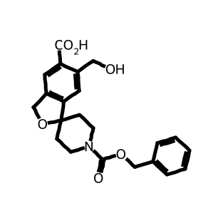 O=C(O)c1cc2c(cc1CO)C1(CCN(C(=O)OCc3ccccc3)CC1)OC2